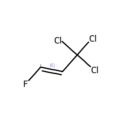 F/[C]=C/C(Cl)(Cl)Cl